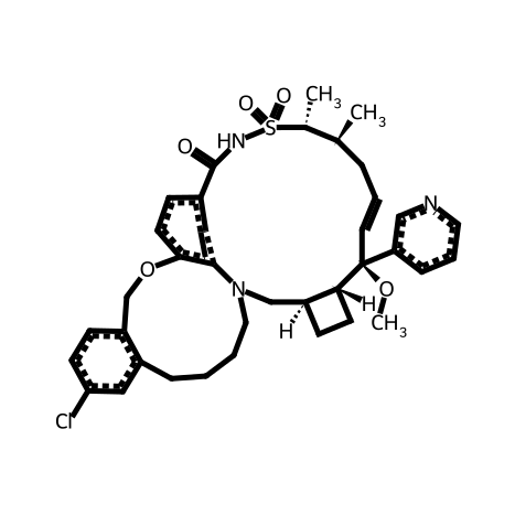 CO[C@]1(c2cccnc2)/C=C/C[C@H](C)[C@@H](C)S(=O)(=O)NC(=O)c2ccc3c(c2)N(CCCCc2cc(Cl)ccc2CO3)C[C@@H]2CC[C@H]21